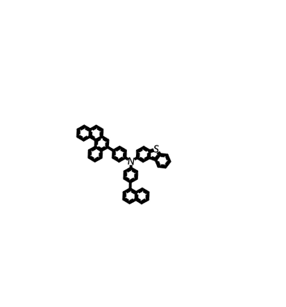 c1ccc2c(-c3ccc(N(c4ccc(-c5cc6ccc7ccccc7c6c6ccccc56)cc4)c4ccc5sc6ccccc6c5c4)cc3)cccc2c1